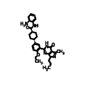 CCCc1nn(C)c2c(=O)[nH]c(-c3cc([C@H]4CC[C@H](C(=O)Nc5ccccc5N)CC4)ccc3OCC)nc12